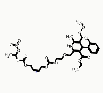 CCOC(=O)C1=C(COCCNC(=O)OC/C=C\COC(=O)OC(C)O[N+](=O)[O-])NC(C)=C(COOC)C1c1ccccc1Cl